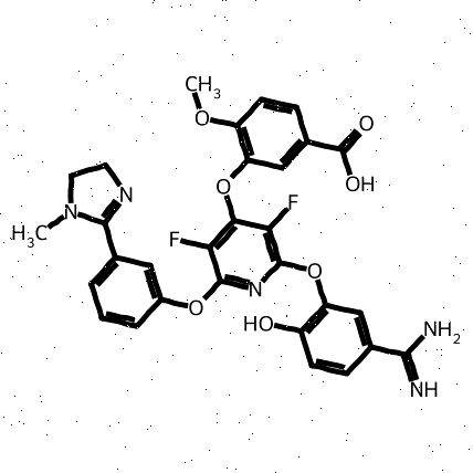 COc1ccc(C(=O)O)cc1Oc1c(F)c(Oc2cccc(C3=NCCN3C)c2)nc(Oc2cc(C(=N)N)ccc2O)c1F